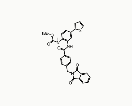 CC(C)(C)OC(=O)Nc1ccc(-c2cccs2)cc1NC(=O)c1ccc(CN2C(=O)c3ccccc3C2=O)cc1